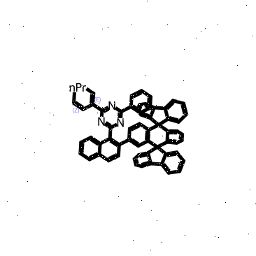 C/C=C\C(=C/CCC)c1nc(-c2ccccc2)nc(-c2c(-c3ccc4c(c3)C3(c5ccccc5-c5ccccc53)c3ccccc3C43c4ccccc4-c4ccccc43)ccc3ccccc23)n1